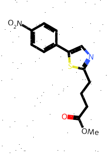 COC(=O)CCCc1ncc(-c2ccc([N+](=O)[O-])cc2)s1